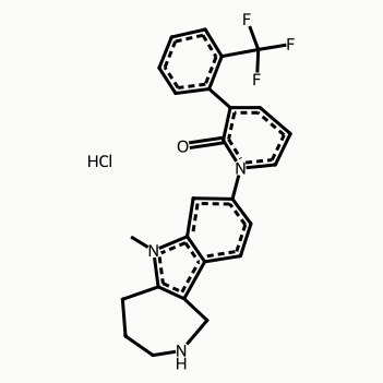 Cl.Cn1c2c(c3ccc(-n4cccc(-c5ccccc5C(F)(F)F)c4=O)cc31)CNCCC2